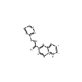 O=C(OCc1ccccc1)c1ccc2ncccc2c1